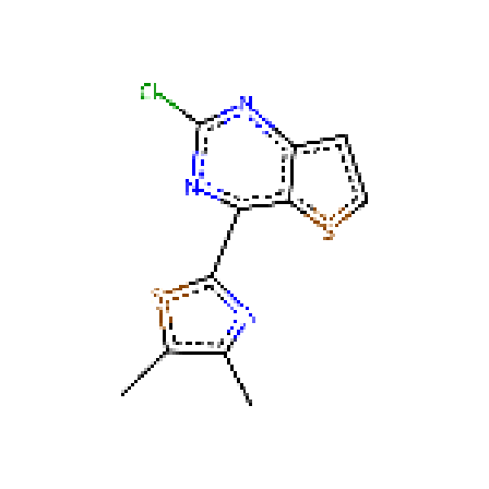 Cc1nc(-c2nc(Cl)nc3ccsc23)sc1C